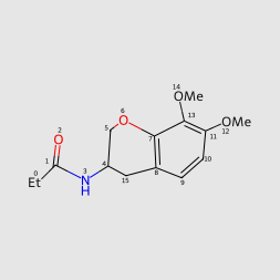 CCC(=O)NC1COc2c(ccc(OC)c2OC)C1